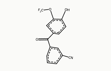 N#Cc1cccc(C(=O)c2ccc(O)c(OC(F)(F)F)c2)c1